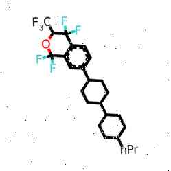 CCCC1CCC(C2CCC(c3ccc4c(c3)C(F)(F)OC(C(F)(F)F)C4(F)F)CC2)CC1